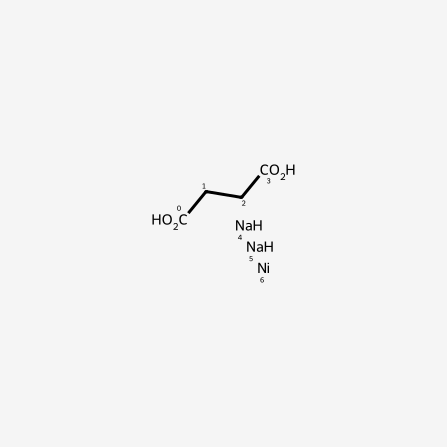 O=C(O)CCC(=O)O.[NaH].[NaH].[Ni]